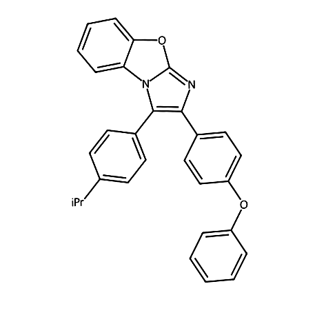 CC(C)c1ccc(-c2c(-c3ccc(Oc4ccccc4)cc3)nc3oc4ccccc4n23)cc1